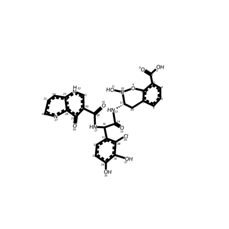 O=C(O)c1cccc2c1OB(O)[C@@H](NC(=O)C(NC(=O)c1c[nH]c3cccnc3c1=O)c1ccc(O)c(O)c1Cl)C2